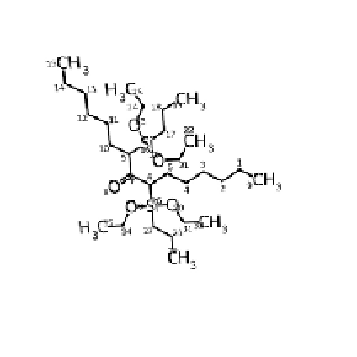 CCCCCCC(C(=O)C(CCCCCC)[Si](CCC)(OCC)OCC)[Si](CCC)(OCC)OCC